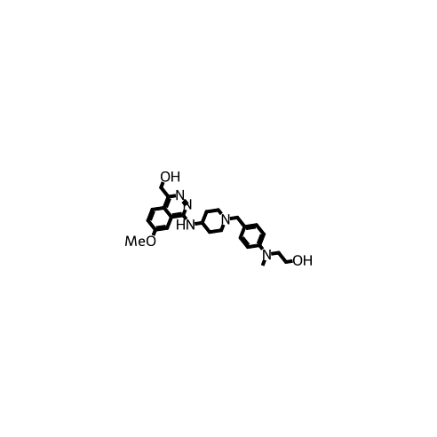 COc1ccc2c(CO)nnc(NC3CCN(Cc4ccc(N(C)CCO)cc4)CC3)c2c1